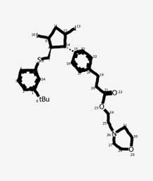 CC(C)(C)c1cccc(SC[C@H]2C(I)CC(I)[C@@H]2c2ccc(CCC(=O)OCCN3CCOCC3)cc2)c1